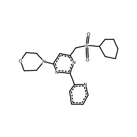 O=S(=O)(Cc1cc(N2CCOCC2)nc(-c2ccccn2)n1)C1CCCCC1